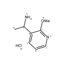 COc1ncccc1C(C)N.Cl